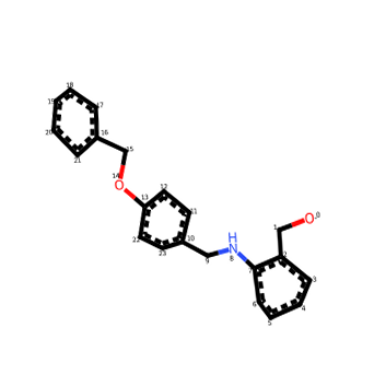 [O]Cc1ccccc1NCc1ccc(OCc2ccccc2)cc1